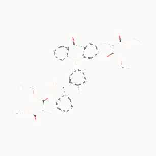 CCOC(=O)C(Cc1ccc2c(c1)C(=O)c1ccccc1[SH]2c1ccc2c(c1)C(O)c1cc(CC(C(=O)OCC)C(=O)OCC)ccc1S2)C(=O)OCC